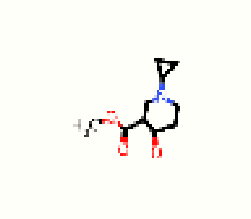 COC(=O)C1CN(C2CC2)CCC1=O